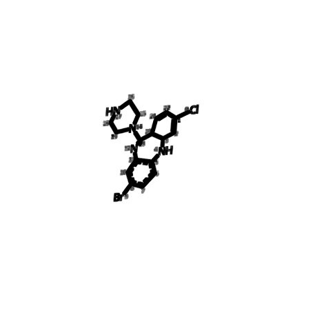 ClC1=CC2Nc3ccc(Br)cc3N=C(N3CCNCC3)C2C=C1